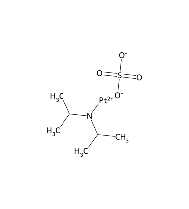 CC(C)[N]([Pt+2])C(C)C.O=S(=O)([O-])[O-]